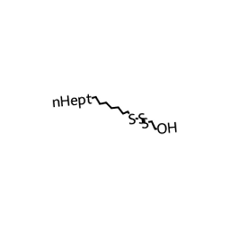 CCCCCCCCCCCCCCSSSCCO